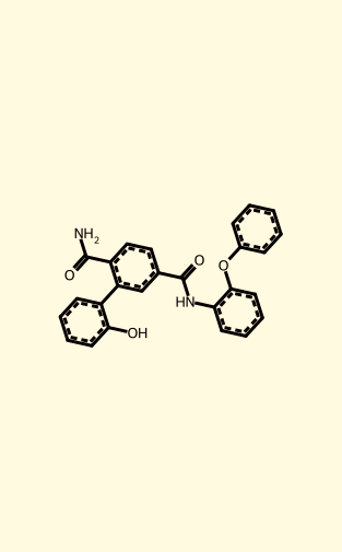 NC(=O)c1ccc(C(=O)Nc2ccccc2Oc2ccccc2)cc1-c1ccccc1O